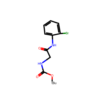 CC(C)(C)OC(=O)NCC(=O)Nc1ccccc1Br